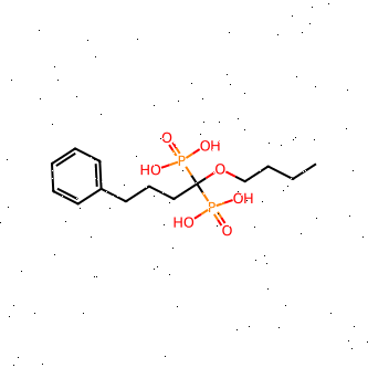 CCCCOC(CCCc1ccccc1)(P(=O)(O)O)P(=O)(O)O